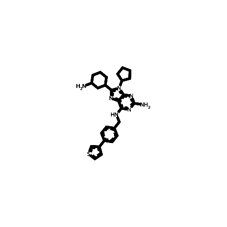 Nc1nc(NCc2ccc(-c3ccsc3)cc2)c2nc(C3CCCC(N)C3)n(C3CCCC3)c2n1